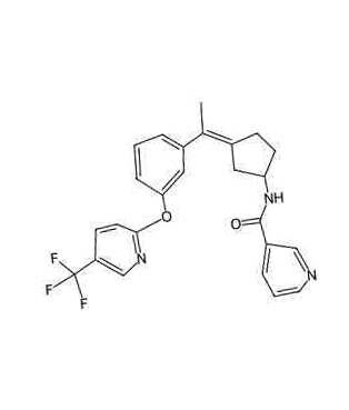 CC(=C1CCC(NC(=O)c2cccnc2)C1)c1cccc(Oc2ccc(C(F)(F)F)cn2)c1